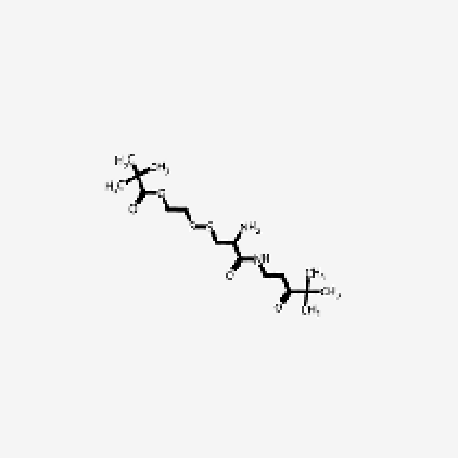 CC(C)(C)C(=O)CCNC(=O)C(N)CSSCCOC(=O)C(C)(C)C